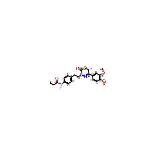 CCC(=O)Nc1ccc(CCN2N=C(c3ccc(OC)c(OC)c3)CSC2=O)cc1